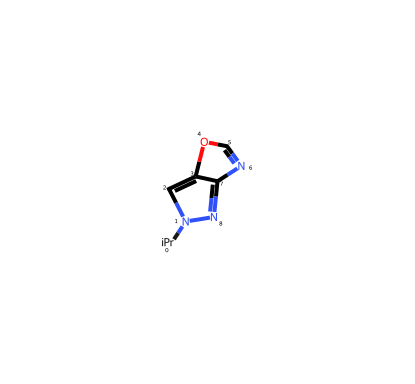 CC(C)n1cc2ocnc2n1